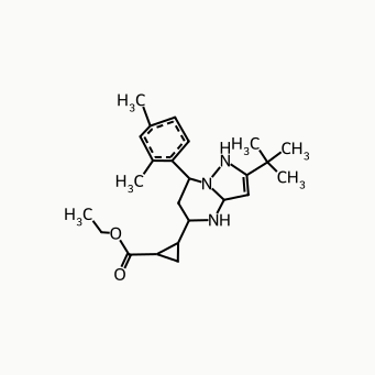 CCOC(=O)C1CC1C1CC(c2ccc(C)cc2C)N2NC(C(C)(C)C)=CC2N1